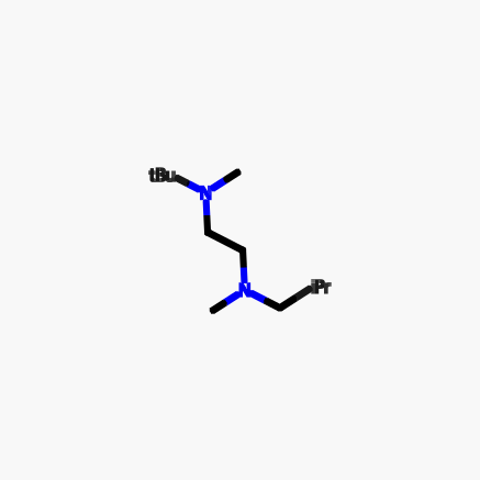 CC(C)CN(C)CCN(C)C(C)(C)C